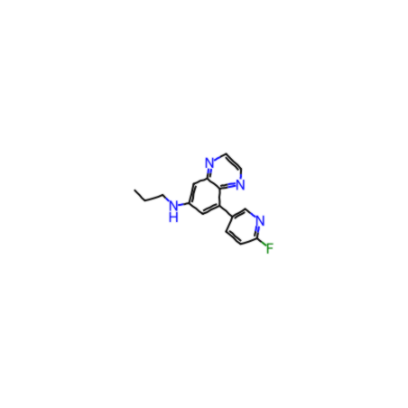 CCCNc1cc(-c2ccc(F)nc2)c2nccnc2c1